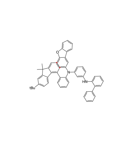 CC(C)(C)c1ccc2c(c1)C(C)(C)c1cccc(-c3ccccc3N(c3cccc(Nc4ccccc4-c4ccccc4)c3)c3ccc4oc5ccccc5c4c3)c1-2